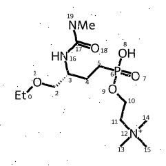 CCOC[C@@H](CCP(=O)(O)OCC[N+](C)(C)C)NC(=O)NC